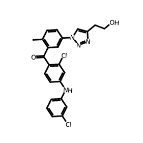 Cc1ccc(-n2cc(CCO)nn2)cc1C(=O)c1ccc(Nc2cccc(Cl)c2)cc1Cl